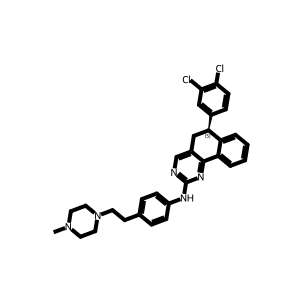 CN1CCN(CCc2ccc(Nc3ncc4c(n3)-c3ccccc3[C@H](c3ccc(Cl)c(Cl)c3)C4)cc2)CC1